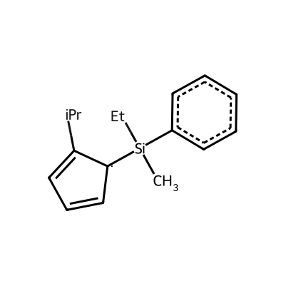 CC[Si](C)([C]1C=CC=C1C(C)C)c1ccccc1